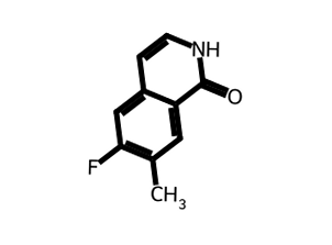 Cc1cc2c(=O)[nH]ccc2cc1F